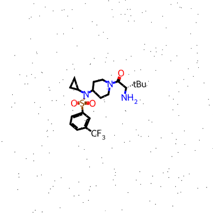 CC(C)(C)[C@H](N)C(=O)N1CCC(N(C2CC2)S(=O)(=O)c2cccc(C(F)(F)F)c2)CC1